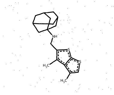 Cc1csc2sc(CNC34CC5CC(CC(C5)C3)C4)c(C)c12